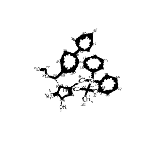 C=C1[C@H](O)C[C@H](O[Si](c2ccccc2)(c2ccccc2)C(C)(C)C)[C@H]1C(OC=O)c1ccc(-c2ccccc2)cc1